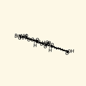 O=C(O)CCCCCCCCCCCCCCC(=O)NCC[C@H](C(=O)O)C(=O)NCCOCCOCC(=O)NCCOCCOCCC(=O)NCCNC(=O)CBr